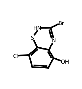 Oc1ccc(Cl)c2c1N=C(Br)NS2